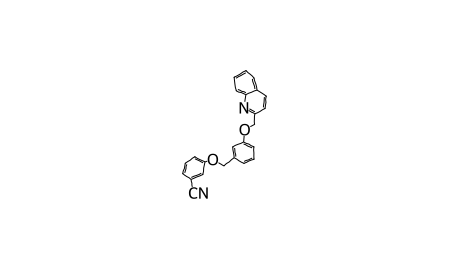 N#Cc1cccc(OCc2cccc(OCc3ccc4ccccc4n3)c2)c1